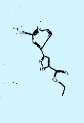 CCOC(=O)c1cc(-c2ccnc(N)n2)n[nH]1